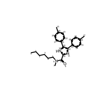 CCCCCCN(C)C(=O)c1nc(-c2ccc(C)cc2)c(-c2ccc(C)cc2)[nH]1